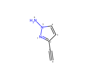 C#Cc1ccn(N)n1